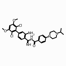 COc1cc(OC)c(Cl)c(-c2ccc(C(=N)NC(=O)c3ccc(N4CCN(C(C)C)CC4)cc3)c(N)c2)c1Cl